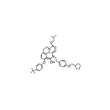 CC(C)COC(=O)N1CCc2ccc(Oc3ccc(C(C)(C)C)cc3)cc2[C@H]1C(=O)N(CCc1ccc(OCC2CCCC2)cc1)C(=O)O